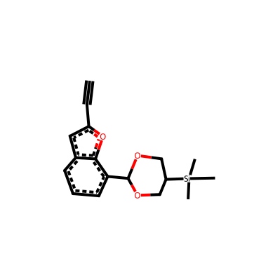 C#Cc1cc2cccc(C3OCC([Si](C)(C)C)CO3)c2o1